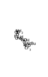 CC(C)(C)C(=O)Nc1cc(C(F)(F)F)cnc1COC(=O)N1CC2CN(C(=O)c3ccc(S(N)(=O)=O)cc3F)C[C@H]2C1